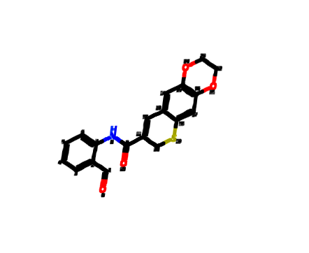 O=Cc1ccccc1NC(=O)C1=Cc2cc3c(cc2SC1)OCCO3